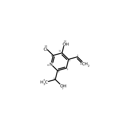 C=Cc1cc(C(C)O)nc(Cl)c1O